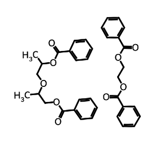 CC(COC(=O)c1ccccc1)OCC(C)OC(=O)c1ccccc1.O=C(OCCOC(=O)c1ccccc1)c1ccccc1